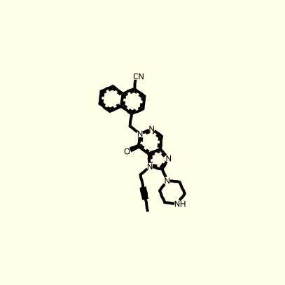 CC#CCn1c(N2CCNCC2)nc2cnn(Cc3ccc(C#N)c4ccccc34)c(=O)c21